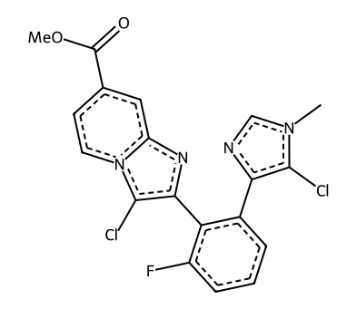 COC(=O)c1ccn2c(Cl)c(-c3c(F)cccc3-c3ncn(C)c3Cl)nc2c1